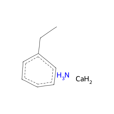 CCc1ccccc1.N.[CaH2]